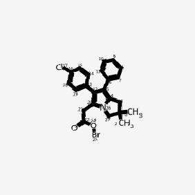 CC1(C)Cc2c(-c3ccccc3)c(-c3ccc(Cl)cc3)c(CC(=O)OBr)n2C1